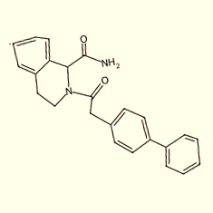 NC(=O)C1c2cc[c]cc2CCN1C(=O)Cc1ccc(-c2ccccc2)cc1